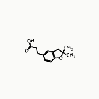 CC1(C)Cc2cc(CCC(=O)O)ccc2O1